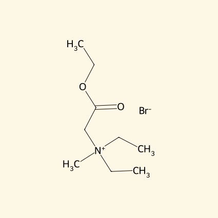 CCOC(=O)C[N+](C)(CC)CC.[Br-]